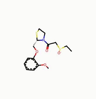 CC[S+]([O-])CC(=O)N1CCS[C@H]1COc1ccccc1OC